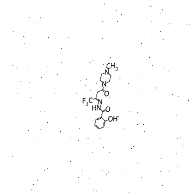 CN1CCN(C(=O)CC(=NNC(=O)c2ccccc2O)C(F)(F)F)CC1